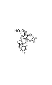 CN(C)[C@]1(c2ccc(F)cc2)CC[C@]2(CC1)CN(CC(=O)O)C(=O)N2CC1CCC1